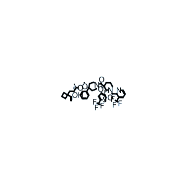 C=C(O)C1(CC[C@@H](C)Oc2ccccc2C2(OC)CCN(C(=O)[C@]3(Oc4csc(C(F)(F)F)c4)CCCN(C(=O)c4ncccc4C(F)(F)F)[C@@H]3CCC)CC2)CCC1